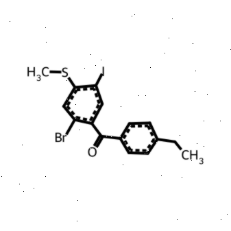 CCc1ccc(C(=O)c2cc(I)c(SC)cc2Br)cc1